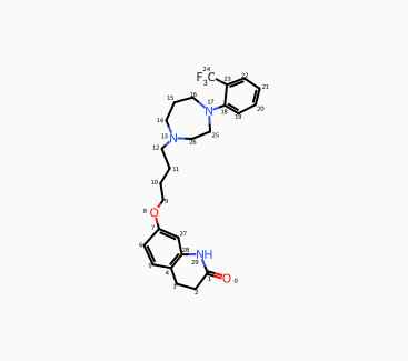 O=C1CCc2ccc(OCCCCN3CCCN(c4ccccc4C(F)(F)F)CC3)cc2N1